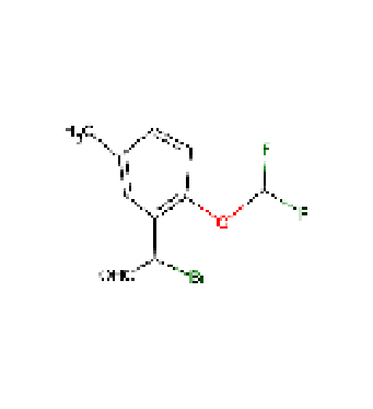 Cc1ccc(OC(F)F)c(C(Br)C=O)c1